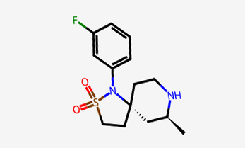 C[C@H]1C[C@]2(CCN1)CCS(=O)(=O)N2c1cccc(F)c1